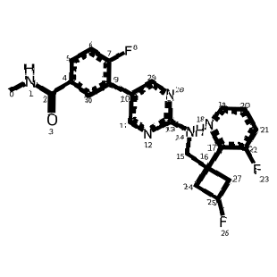 CNC(=O)c1ccc(F)c(-c2cnc(NCC3(c4ncccc4F)CC(F)C3)nc2)c1